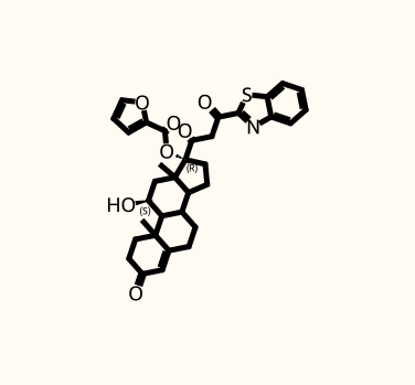 CC12CCC(=O)C=C1CCC1C2[C@@H](O)CC2(C)C1CC[C@]2(OC(=O)c1ccco1)C(=O)CC(=O)c1nc2ccccc2s1